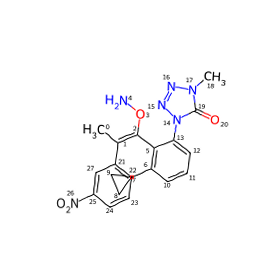 C/C(=C(\ON)c1c(C2CC2)cccc1-n1nnn(C)c1=O)c1cccc([N+](=O)[O-])c1